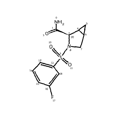 NC(=O)[C@H]1C2CC2CN1S(=O)(=O)c1cccc(F)c1